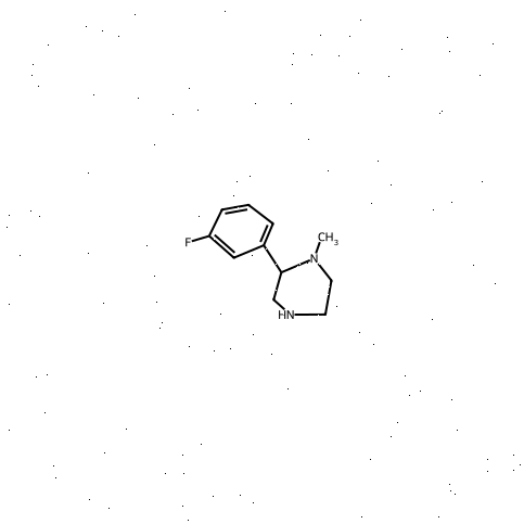 CN1CCNCC1c1cccc(F)c1